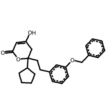 O=C1C=C(O)CC(CCc2cccc(OCc3ccccc3)c2)(C2CCCC2)O1